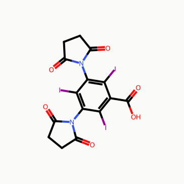 O=C(O)c1c(I)c(N2C(=O)CCC2=O)c(I)c(N2C(=O)CCC2=O)c1I